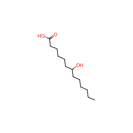 CCCCCCC(O)CCCCCC(=O)O